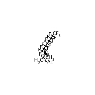 CC(=O)CS(C)(C)OS(=O)(=O)C(F)(F)C(F)(F)C(F)(F)C(F)(F)C(F)(F)C(F)(F)C(F)(F)C(F)(F)F